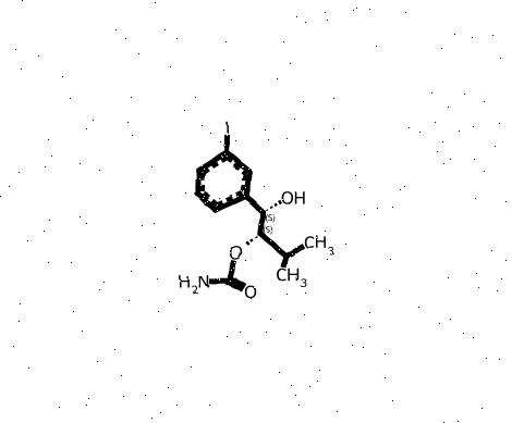 CC(C)[C@H](OC(N)=O)[C@@H](O)c1cccc(I)c1